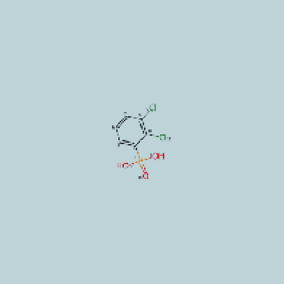 O=P(O)(O)c1cccc(Cl)c1Cl